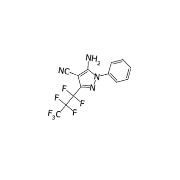 N#Cc1c(C(F)(F)C(F)(F)C(F)(F)F)nn(-c2ccccc2)c1N